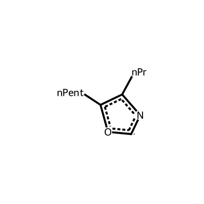 CCCCCc1o[c]nc1CCC